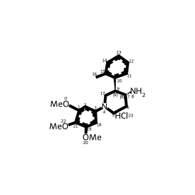 COc1cc(N2CC[C@@H](N)[C@H](c3ccccc3C)C2)cc(OC)c1OC.Cl